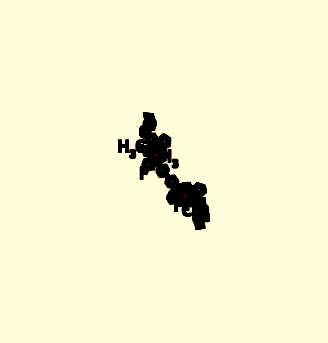 Cc1ccc(C)c(C2(c3ccc(Oc4ccc5c(c4)CC5)cc3)c3ccccc3-c3ccc(N(c4ccc(-c5ccc(N(c6cccc(F)c6)c6ccc7c(c6)C(c6ccc(Oc8ccc9c(c8)CC9)cc6)(c6cc(C)ccc6C)c6ccccc6-7)cc5)cc4)c4cccc(F)c4)cc32)c1